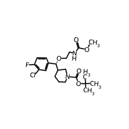 COC(=O)NCCO[C@@H](c1ccc(F)c(Cl)c1)C1CCCN(C(=O)OC(C)(C)C)C1